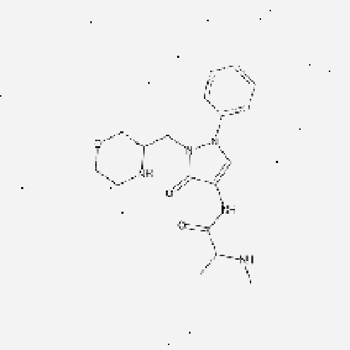 CNC(C)C(=O)Nc1cn(-c2ccccc2)n(CC2COCCN2)c1=O